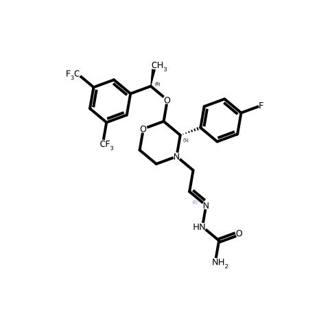 C[C@@H](OC1OCCN(C/C=N/NC(N)=O)[C@H]1c1ccc(F)cc1)c1cc(C(F)(F)F)cc(C(F)(F)F)c1